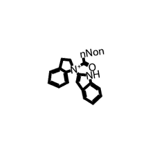 CCCCCCCCCC(=O)[N+]1(c2cc3ccccc3[nH]2)CCc2ccccc21